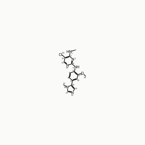 CNc1nc(Nc2ccc(-c3cncn3C)cc2OC)ncc1Cl